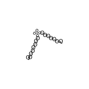 C=CC(=O)CCOCCOCCOCCOCCOCCOc1ccc(C2(c3ccc(OCCOCCOCCOCCOCCOCCOC(=O)C=C)cc3)c3ccccc3-c3ccccc32)cc1